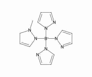 CN1CC=CN1[B-](n1cccn1)(n1cccn1)n1cccn1